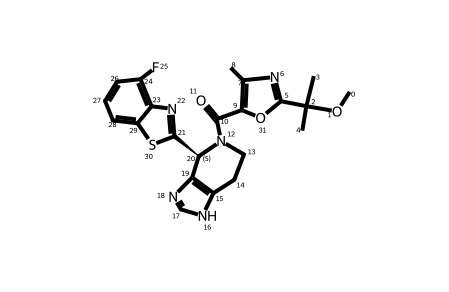 COC(C)(C)c1nc(C)c(C(=O)N2CCc3[nH]cnc3[C@H]2c2nc3c(F)cccc3s2)o1